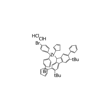 CC(C)(C)c1cc2c(cc1-c1ccccc1)[CH]([Zr]([C]1=CC=CC1)=[C](c1ccc(Br)cc1)c1ccc(Br)cc1)c1cc(-c3ccccc3)c(C(C)(C)C)cc1-2.Cl.Cl